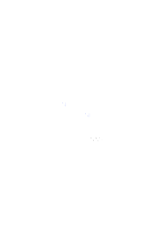 CNCC(=N)CN